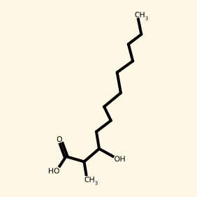 CCCCCCCCCC(O)C(C)C(=O)O